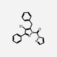 CCc1c(-c2ccccc2)nn(C(=O)n2cccn2)c1Cc1ccccc1